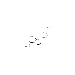 CCNc1ncnc2c1ncn2C1O[C@H](CO)C[C@@H]1C